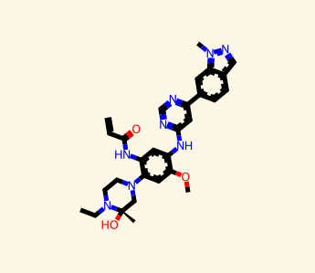 C=CC(=O)Nc1cc(Nc2cc(-c3ccc4cnn(C)c4c3)ncn2)c(OC)cc1N1CCN(CC)[C@@](C)(O)C1